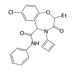 CCC1Oc2ccc(Cl)cc2C(C(=O)Nc2ccccc2)N(C2=CC=C2)C1=O